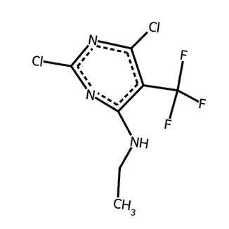 CCNc1nc(Cl)nc(Cl)c1C(F)(F)F